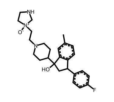 Cc1ccc2c(c1)C(O)(C1CCN(CC[N+]3([O-])CCNC3)CC1)CC2c1ccc(F)cc1